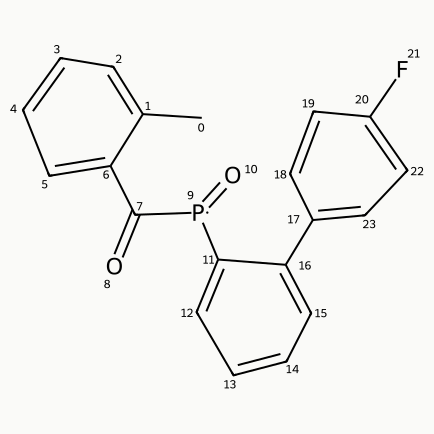 Cc1ccccc1C(=O)[P](=O)c1ccccc1-c1ccc(F)cc1